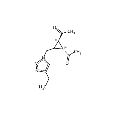 CCc1cn(CC2[C@@H](C(C)=O)[C@@H]2C(C)=O)nn1